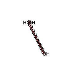 O=P(O)(O)CCOCCOCCOCCOCCOCCOCCOCCOCCOCCOCCOCCOCCOCCOCCOCCO